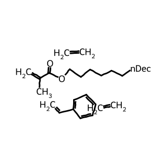 C=C.C=C.C=C(C)C(=O)OCCCCCCCCCCCCCCCC.C=Cc1ccccc1